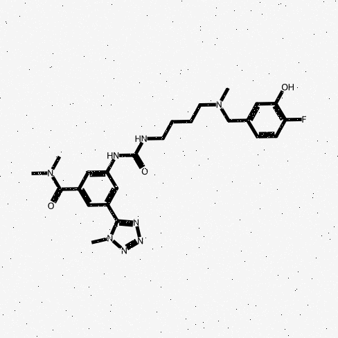 CN(CCCCNC(=O)Nc1cc(C(=O)N(C)C)cc(-c2nnnn2C)c1)Cc1ccc(F)c(O)c1